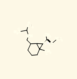 C/N=C(\C)[C@@H]1C2C(CNC(C)C)CCCC21C